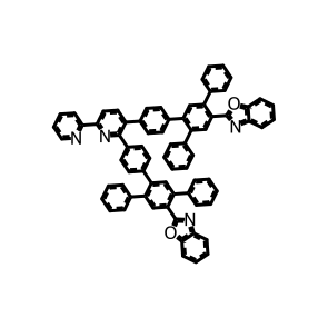 c1ccc(-c2cc(-c3nc4ccccc4o3)c(-c3ccccc3)cc2-c2ccc(-c3ccc(-c4ccccn4)nc3-c3ccc(-c4cc(-c5ccccc5)c(-c5nc6ccccc6o5)cc4-c4ccccc4)cc3)cc2)cc1